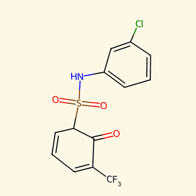 O=C1C(C(F)(F)F)=CC=CC1S(=O)(=O)Nc1cccc(Cl)c1